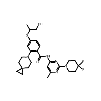 Cc1cc(NC(=O)c2ccc(SC(C)CO)cc2N2CCC3(CC2)CC3)nc(N2CCC(F)(F)CC2)n1